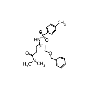 Cc1ccc(S(=O)(=O)N[C@H](CCOCc2ccccc2)CCC(=O)N(C)C)cc1